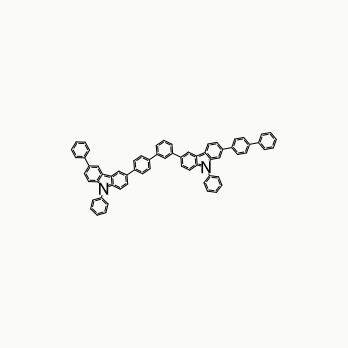 c1ccc(-c2ccc(-c3ccc4c5cc(-c6cccc(-c7ccc(-c8ccc9c(c8)c8cc(-c%10ccccc%10)ccc8n9-c8ccccc8)cc7)c6)ccc5n(-c5ccccc5)c4c3)cc2)cc1